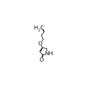 C=CCCOC1=CC(=O)NC1